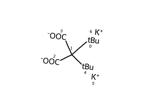 CC(C)(C)C(C(=O)[O-])(C(=O)[O-])C(C)(C)C.[K+].[K+]